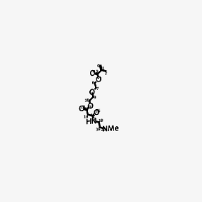 C=C(C)C(=O)OCCOCCOC(=O)CC(=O)NCCNC